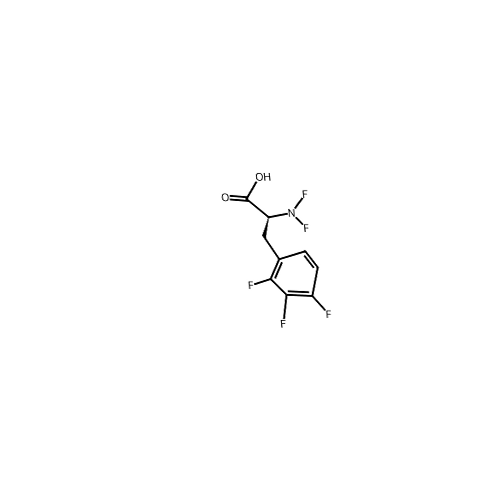 O=C(O)[C@H](Cc1ccc(F)c(F)c1F)N(F)F